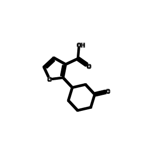 O=C1CCCC(c2occc2C(=O)O)C1